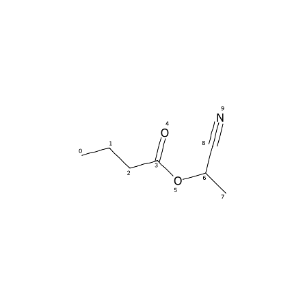 CCCC(=O)OC(C)C#N